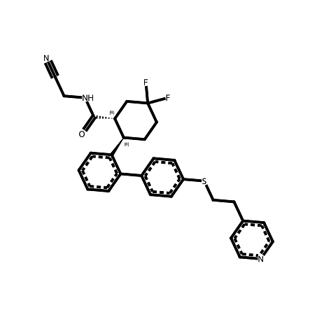 N#CCNC(=O)[C@@H]1CC(F)(F)CC[C@H]1c1ccccc1-c1ccc(SCCc2ccncc2)cc1